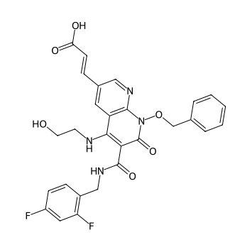 O=C(O)C=Cc1cnc2c(c1)c(NCCO)c(C(=O)NCc1ccc(F)cc1F)c(=O)n2OCc1ccccc1